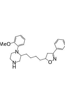 COc1ccccc1N1CCNCC1CCCCC1CC(c2ccccc2)=NO1